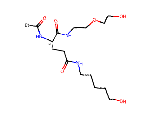 CCC(=O)N[C@@H](CCC(=O)NCCCCCO)C(=O)NCCOCCO